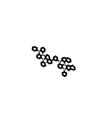 c1ccc(N2c3cc4ccccc4cc3B3c4c2cccc4N(c2cccc(-c4cccc5c6c(ccc45)B4c5ccccc5N(c5ccccc5)c5cccc(c54)N6c4ccccc4)c2)c2ccc4ccccc4c23)cc1